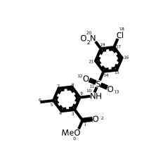 COC(=O)c1cc(C)ccc1NS(=O)(=O)c1ccc(Cl)c([N+](=O)[O-])c1